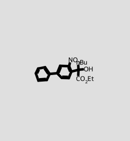 CCCCC(O)(C(=O)OCC)c1ccc(-c2ccccc2)cc1[N+](=O)[O-]